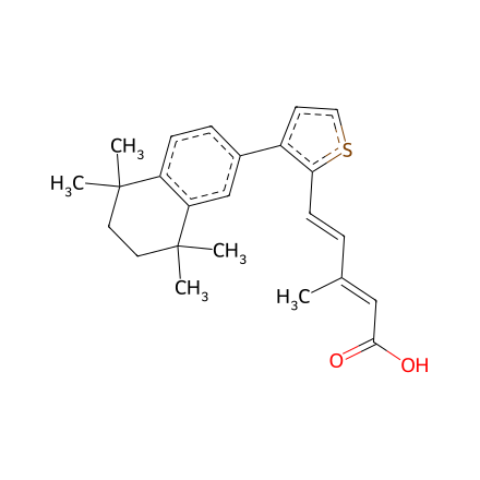 CC(/C=C/c1sccc1-c1ccc2c(c1)C(C)(C)CCC2(C)C)=C\C(=O)O